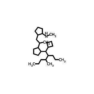 CCCC(C)C(CCC)C(C1CCC1)C1CCCC1C(C)CC1CCCC1NC